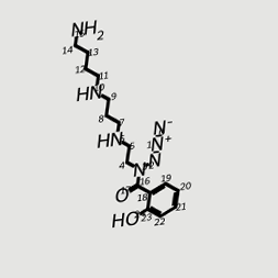 [N-]=[N+]=NN(CCNCCCNCCCCN)C(=O)c1ccccc1O